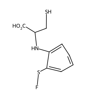 O=C(O)C(CS)Nc1ccccc1SF